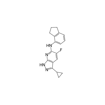 Fc1cc2c(C3CC3)n[nH]c2nc1Nc1cccc2c1CCC2